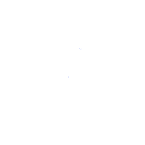 O=C1Cc2cc(S(=O)(=O)NCc3ccc(Cl)cc3)ccc2N1